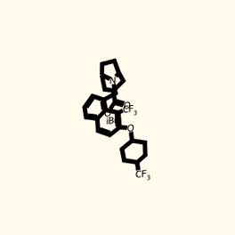 CCC(C)OC(=O)C1CC2CCC(C1)N2Cc1cccc2ccc(OC3CCC(C(F)(F)F)CC3)c(C(F)(F)F)c12